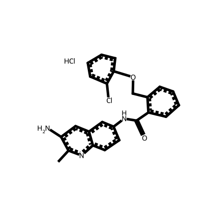 Cc1nc2ccc(NC(=O)c3ccccc3COc3ccccc3Cl)cc2cc1N.Cl